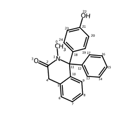 CN1C(=O)Cc2ccccc2C1(c1ccccc1)c1ccc(O)cc1